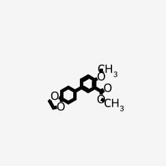 COC(=O)c1cc(C2CCC3(CC2)OCCO3)ccc1OC